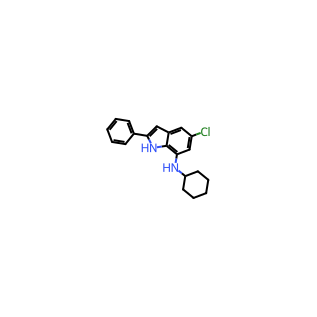 Clc1cc(NC2CCCCC2)c2[nH]c(-c3ccccc3)cc2c1